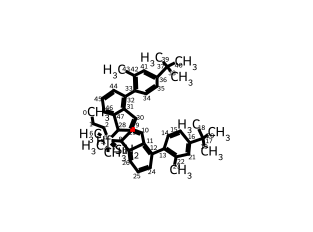 CC[CH2][Hf]([CH3])([CH3])([CH3])(=[SiH2])([CH]1C=Cc2c(-c3ccc(C(C)(C)C)cc3C)cccc21)[CH]1C=Cc2c(-c3ccc(C(C)(C)C)cc3C)cccc21